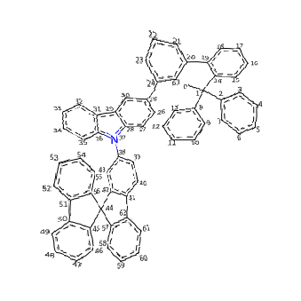 CC(c1ccccc1)(c1ccccc1)c1ccccc1-c1cccc(-c2ccc3c(c2)c2ccccc2n3-c2ccc3c(c2)C2(c4ccccc4-c4ccccc42)c2ccccc2-3)c1